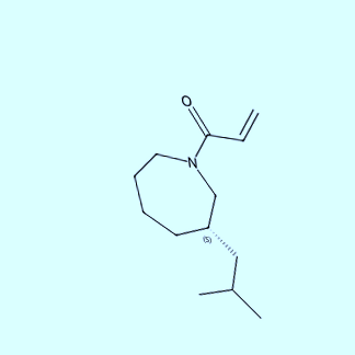 C=CC(=O)N1CCCC[C@@H](CC(C)C)C1